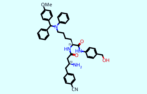 COc1ccc(C(c2ccccc2)N(CCCC[C@H](NC(=O)C[C@@H](N)Cc2ccc(C#N)cc2)C(=O)Nc2ccc(CO)cc2)c2ccccc2)cc1